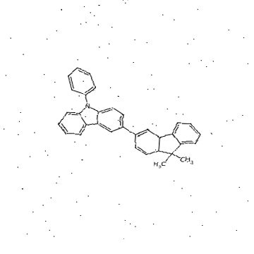 CC1(C)c2ccccc2C2C=C(c3ccc4c(c3)c3ccccc3n4-c3ccccc3)C=CC21